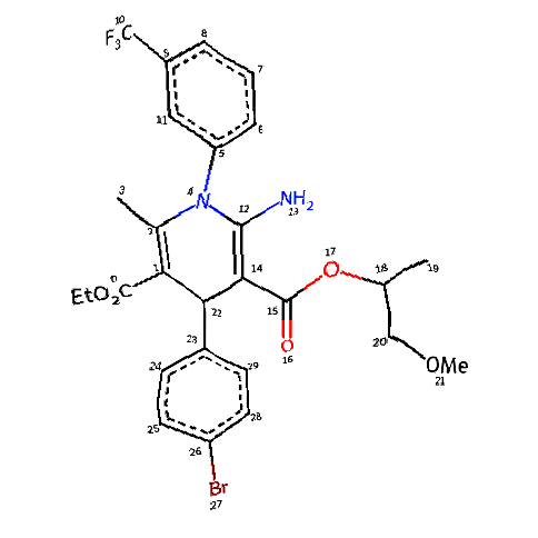 CCOC(=O)C1=C(C)N(c2cccc(C(F)(F)F)c2)C(N)=C(C(=O)OC(C)COC)C1c1ccc(Br)cc1